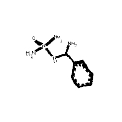 NC(NP(N)(N)=O)c1ccccc1